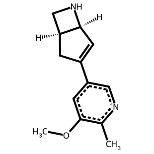 COc1cc(C2=C[C@@H]3NC[C@@H]3C2)cnc1C